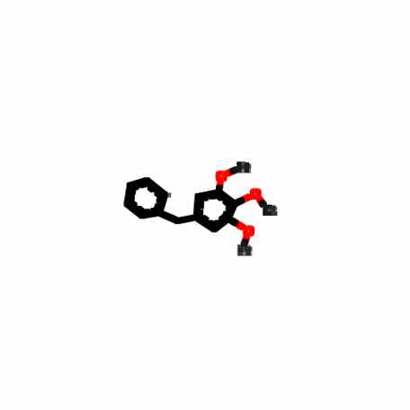 CCOc1cc(Cc2[c]cccc2)cc(OCC)c1OCC